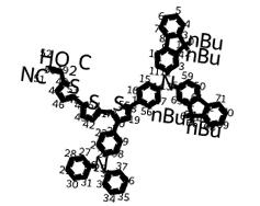 CCCCC1(CCCC)c2ccccc2-c2ccc(N(c3ccc(-c4cc(-c5ccc(N(c6ccccc6)c6ccccc6)cc5)c(-c5ccc(-c6ccc(/C=C(\C#N)C(=O)O)s6)s5)s4)cc3)c3ccc4c(c3)C(CCCC)(CCCC)c3ccccc3-4)cc21